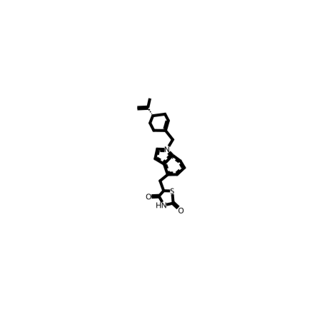 C=C(C)[C@@H]1CC=C(Cn2ccc3c(CC4SC(=O)NC4=O)cccc32)CC1